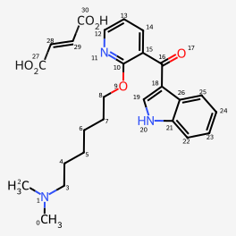 CN(C)CCCCCCOc1ncccc1C(=O)c1c[nH]c2ccccc12.O=C(O)/C=C/C(=O)O